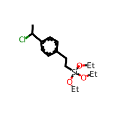 CCO[Si](CCc1ccc(C(C)Cl)cc1)(OCC)OCC